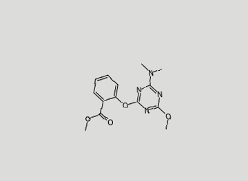 COC(=O)c1ccccc1Oc1nc(OC)nc(N(C)C)n1